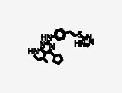 CC1=CCNc2nc(Nc3ccc(CCSc4nnc[nH]4)cc3)nc(C3CCCC3)c21